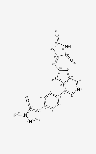 CC(C)n1ncn(-c2ccc(-c3cncc4cc(/C=C5/SC(=O)NC5=O)oc34)cc2)c1=O